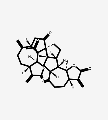 C=C1CC[C@H]2C(=C)C(=O)O[C@@H]2C2[C@H]1CC(=O)[C@]21CC[C@]2(O)[C@@H]3[C@H]4OC(=O)C(=C)[C@@H]4CCC(=C)[C@@H]3C[C@]12OC(C)=O